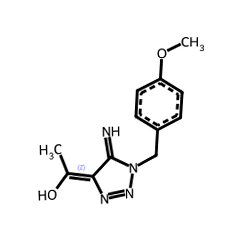 COc1ccc(CN2N=N/C(=C(/C)O)C2=N)cc1